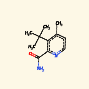 Cc1ccnc(C(N)=O)c1C(C)(C)C